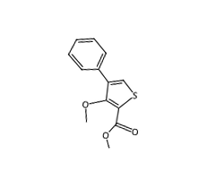 COC(=O)c1scc(-c2ccccc2)c1OC